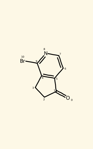 O=C1CCc2c1ccnc2Br